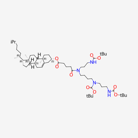 CC(C)CCC[C@@H](C)[C@H]1CC[C@H]2[C@@H]3CC=C4C[C@@H](OC(=O)CCCC(=O)N(CCCCN(CCCNC(=O)OC(C)(C)C)C(=O)OC(C)(C)C)CCCNC(=O)OC(C)(C)C)CC[C@]4(C)[C@H]3CC[C@]12C